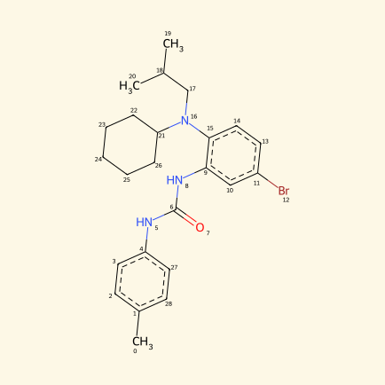 Cc1ccc(NC(=O)Nc2cc(Br)ccc2N(CC(C)C)C2CCCCC2)cc1